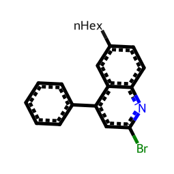 CCCCCCc1ccc2nc(Br)cc(-c3ccccc3)c2c1